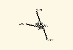 CCCCCCCCC=CCCCCCCCCNC(=O)C1(C)CC(C)(C(=O)NCCCCCCCCC=CCCCCCCCC)CC(C)(C(=O)NCCCCCCCCC=CCCCCCCCC)C1